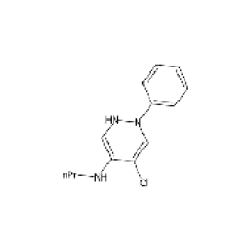 CCCNC1=CNN(c2ccccc2)C=C1Cl